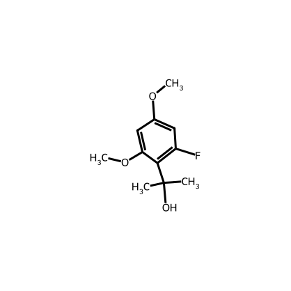 COc1cc(F)c(C(C)(C)O)c(OC)c1